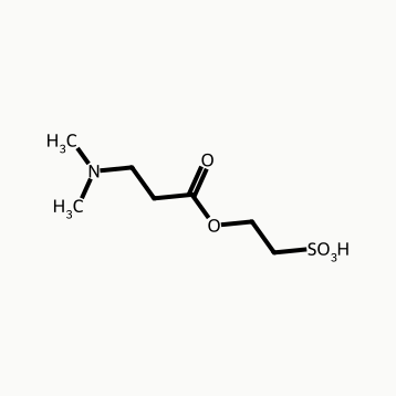 CN(C)CCC(=O)OCCS(=O)(=O)O